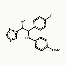 CCCC(C(Nc1ccc(OC)cc1)c1ccc(F)cc1)n1cncn1